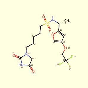 C[C@@H](NS(=O)(=O)CCCCCN1CC(=O)NC1=O)c1cc(OCC(F)(F)F)co1